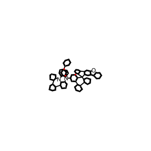 c1ccc(-c2cccc(N(c3ccc4c(c3)-c3ccccc3-c3ccccc3C43c4ccccc4-c4cc5oc6ccccc6c5cc43)c3cccc4c3N(c3ccccc3)c3ccccc3-c3ccccc3-4)c2)cc1